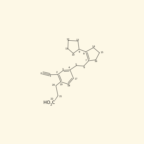 C#Cc1cc(CCC2=C(C3CCCC3)CCC2)ccc1CCC(=O)O